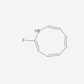 FC1=CC=CC=CC=CB1